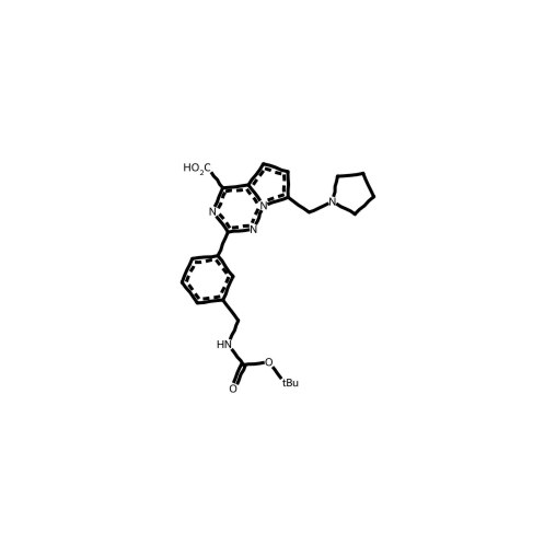 CC(C)(C)OC(=O)NCc1cccc(-c2nc(C(=O)O)c3ccc(CN4CCCC4)n3n2)c1